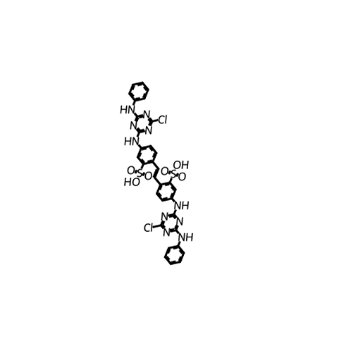 O=S(=O)(O)c1cc(Nc2nc(Cl)nc(Nc3ccccc3)n2)ccc1C=Cc1ccc(Nc2nc(Cl)nc(Nc3ccccc3)n2)cc1S(=O)(=O)O